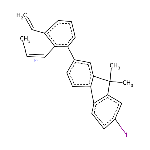 C=Cc1cccc(-c2ccc3c(c2)C(C)(C)c2cc(I)ccc2-3)c1/C=C\C